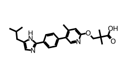 Cc1cc(OCC(C)(C)C(=O)O)ncc1-c1ccc(-c2ncc(CC(C)C)[nH]2)cc1